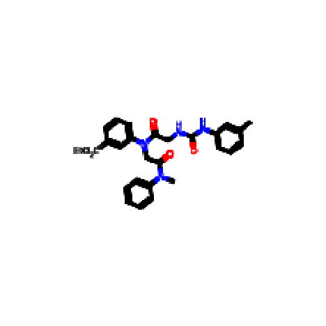 CCOC(=O)c1cccc(N(CC(=O)N(C)c2ccccc2)C(=O)CNC(=O)Nc2cccc(C)c2)c1